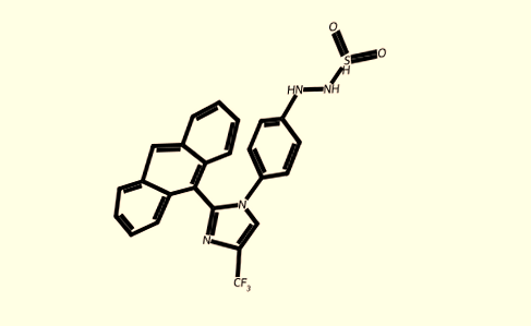 O=[SH](=O)NNc1ccc(-n2cc(C(F)(F)F)nc2-c2c3ccccc3cc3ccccc23)cc1